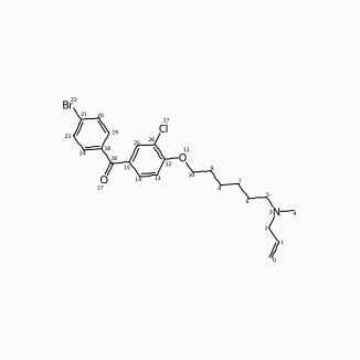 C=CCN(C)CCCCCCOc1ccc(C(=O)c2ccc(Br)cc2)cc1Cl